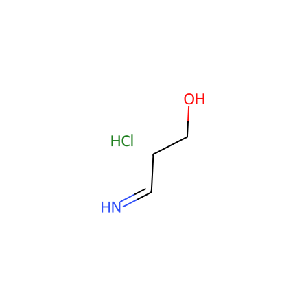 Cl.N=CCCO